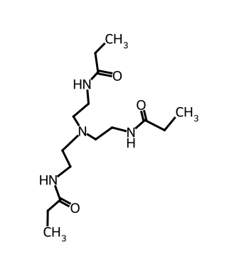 CCC(=O)NCCN(CCNC(=O)CC)CCNC(=O)CC